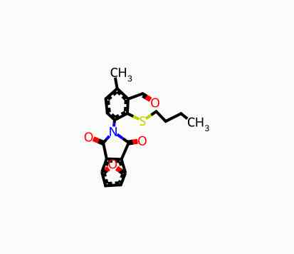 CCCCSc1c(N2C(=O)c3c(c4ccc3o4)C2=O)ccc(C)c1C=O